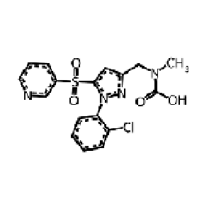 CN(Cc1cc(S(=O)(=O)c2cccnc2)n(-c2ccccc2Cl)n1)C(=O)O